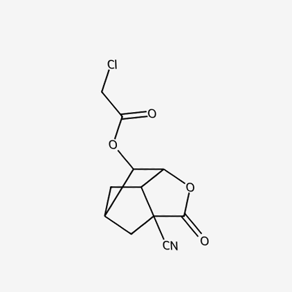 N#CC12CC3CC1C(OC2=O)C3OC(=O)CCl